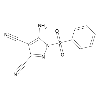 N#Cc1nn(S(=O)(=O)c2ccccc2)c(N)c1C#N